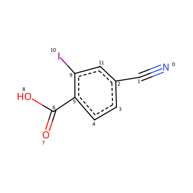 N#Cc1ccc(C(=O)O)c(I)c1